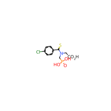 O=C(O)CN(CP(=O)(O)O)C(=S)c1ccc(Cl)cc1